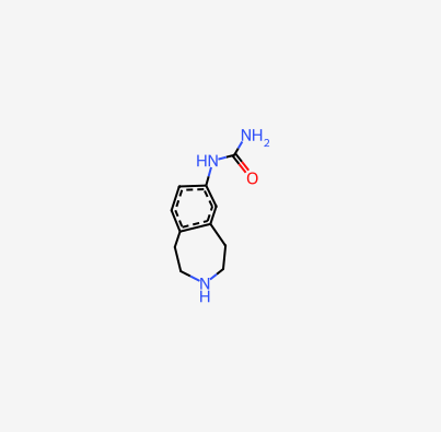 NC(=O)Nc1ccc2c(c1)CCNCC2